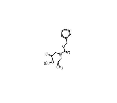 C=CCN(CC(=O)OC(C)(C)C)C(=O)OCc1ccccc1